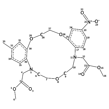 COC(=O)CN1CCOCCN(CC(=O)OC)c2ccc([N+](=O)[O-])cc2OCCOc2cc(C)ccc21